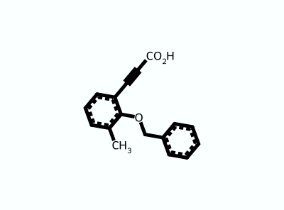 Cc1cccc(C#CC(=O)O)c1OCc1ccccc1